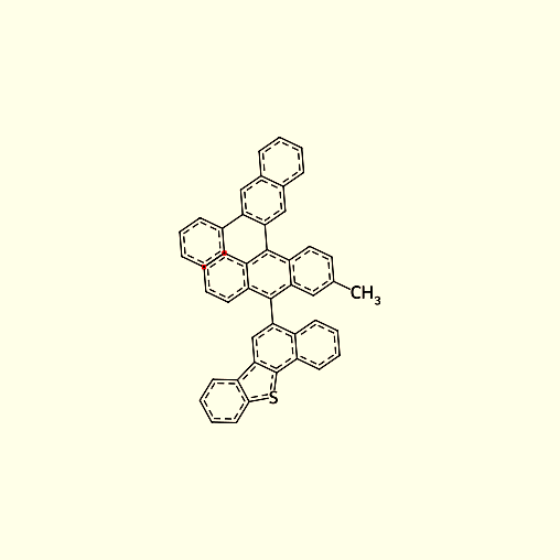 Cc1ccc2c(-c3cc4ccccc4cc3-c3ccccc3)c3ccccc3c(-c3cc4c5ccccc5sc4c4ccccc34)c2c1